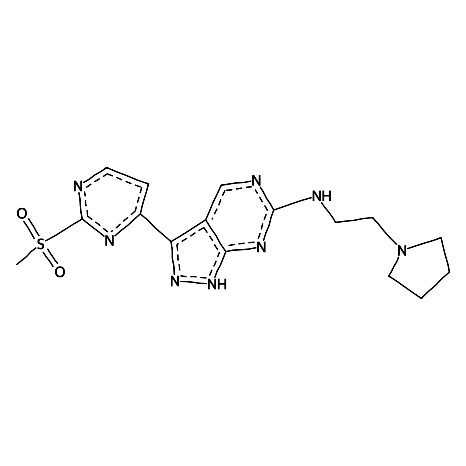 CS(=O)(=O)c1nccc(-c2n[nH]c3nc(NCCN4CCCC4)ncc23)n1